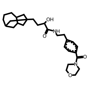 O=C(NCCc1ccc(C(=O)N2CCOCC2)cc1)C(O)CCC12CC3CCCC(C1)C(C3)C2